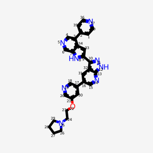 c1cc(-c2cncc3[nH]c(-c4n[nH]c5ncc(-c6cncc(OCCN7CCCC7)c6)cc45)cc23)ccn1